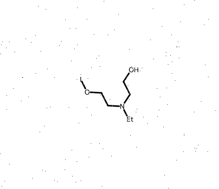 CCN(CCO)CCOI